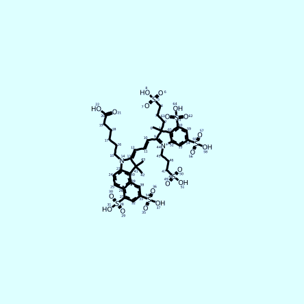 CC1(CCCS(=O)(=O)O)C(/C=C/C=C2/N(CCCCCC(=O)O)c3ccc4c(S(=O)(=O)O)cc(S(=O)(=O)O)cc4c3C2(C)C)=[N+](CCCS(=O)(=O)O)c2cc(S(=O)(=O)O)cc(S(=O)(=O)O)c21